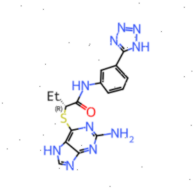 CC[C@@H](Sc1nc(N)nc2nc[nH]c12)C(=O)Nc1cccc(-c2nnn[nH]2)c1